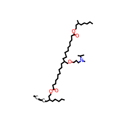 C=C=C=C=CC(CCCCC)CCOC(=O)CCCCCCCCCC(CCCCCCCCCC(=O)OCCC(C)CCCCC)COCCCN(C)C(C)C